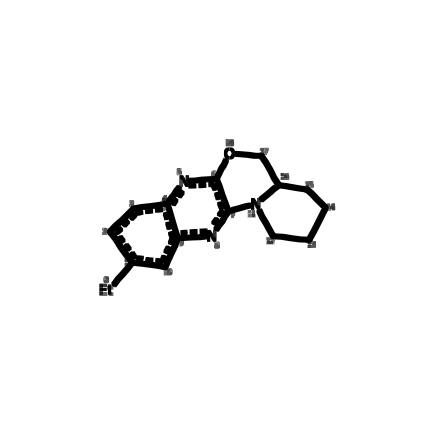 CCc1ccc2nc3c(nc2c1)N1CCCCC1CO3